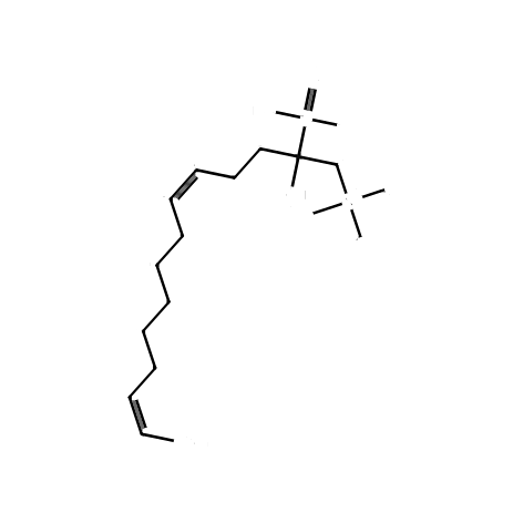 CCCCC/C=C\CCCCC/C=C\CCC(O)(C[N+](C)(C)C)P(=O)(O)O